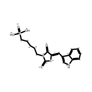 O=C1/C(=C/c2c[nH]c3ccccc23)SC(=S)N1CCCCCP(=O)(O)O